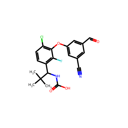 CC(C)(C)C(NC(=O)O)c1ccc(Cl)c(Oc2cc(C#N)cc(C=O)c2)c1F